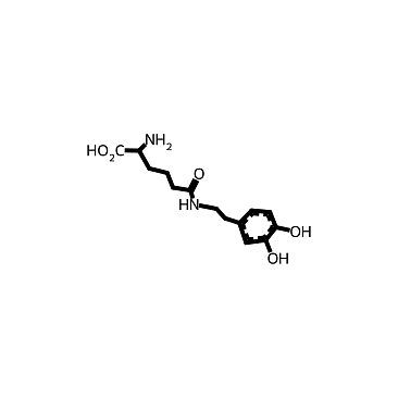 NC(CCCC(=O)NCCc1ccc(O)c(O)c1)C(=O)O